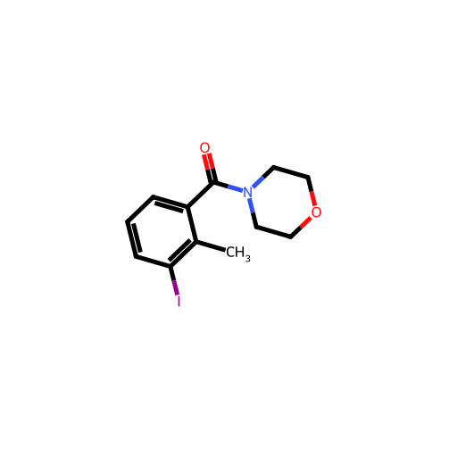 Cc1c(I)cccc1C(=O)N1CCOCC1